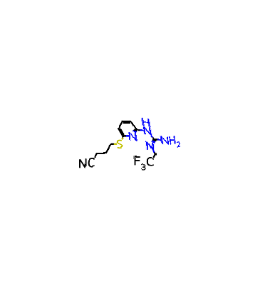 N#CCCCSc1cccc(NC(N)=NCC(F)(F)F)n1